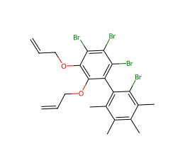 C=CCOc1c(Br)c(Br)c(Br)c(-c2c(C)c(C)c(C)c(C)c2Br)c1OCC=C